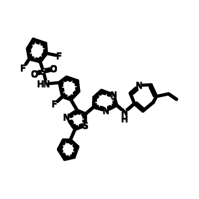 CCC1=CN=CC(Nc2nccc(-c3sc(-c4ccccc4)nc3-c3cccc(NS(=O)(=O)c4c(F)cccc4F)c3F)n2)=CC1